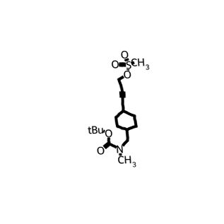 CN(CC1CCC(C#CCOS(C)(=O)=O)CC1)C(=O)OC(C)(C)C